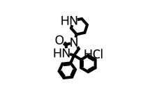 Cl.O=C1NC(c2ccccc2)(c2ccccc2)CN1C1CCCNC1